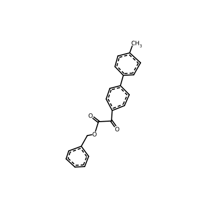 Cc1ccc(-c2ccc(C(=O)C(=O)OCc3ccccc3)cc2)cc1